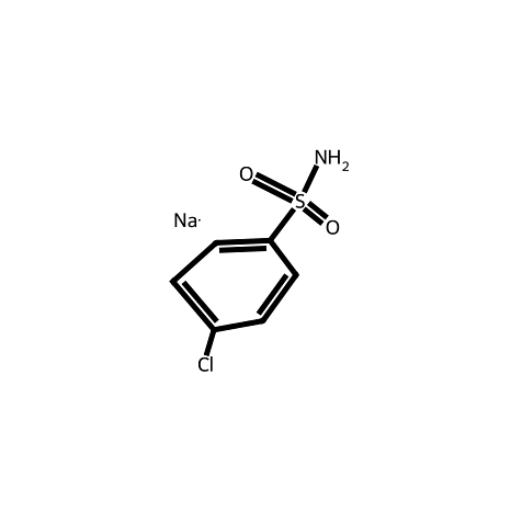 NS(=O)(=O)c1ccc(Cl)cc1.[Na]